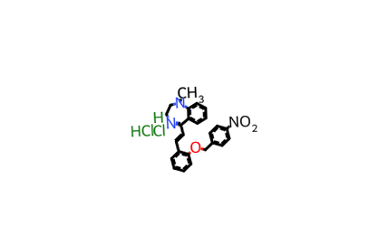 CN1CCN=C(/C=C/c2ccccc2OCc2ccc([N+](=O)[O-])cc2)c2ccccc21.Cl.Cl